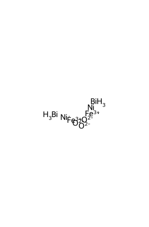 [BiH3].[BiH3].[Fe+3].[Fe+3].[Ni].[Ni].[O-2].[O-2].[O-2]